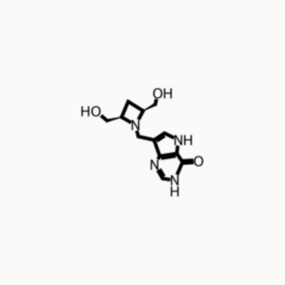 O=c1[nH]cnc2c(CN3[C@H](CO)C[C@@H]3CO)c[nH]c12